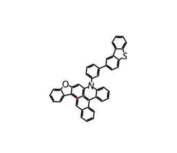 c1cc(-c2ccc3sc4ccccc4c3c2)cc(N(c2ccc3c(c2)oc2ccccc23)c2ccccc2-c2cccc3ccccc23)c1